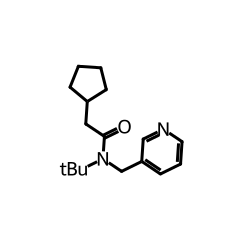 CC(C)(C)N(Cc1cccnc1)C(=O)CC1CCCC1